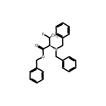 C[C@@H](F)[C@H](C(=O)OCc1ccccc1)N(Cc1ccccc1)Cc1ccccc1